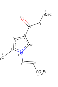 CCCCCCCCCCCC(=O)c1cc(C(=O)O)n(C=CC(=O)OCC)c1